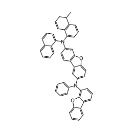 CC1CC=Cc2c1cccc2N(c1ccc2c(c1)oc1ccc(N(c3ccccc3)c3cccc4c3oc3ccccc34)cc12)c1cccc2ccccc12